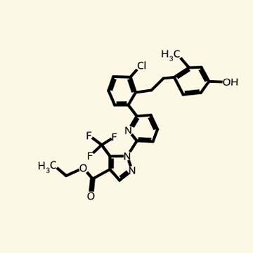 CCOC(=O)c1cnn(-c2cccc(-c3cccc(Cl)c3CCc3ccc(O)cc3C)n2)c1C(F)(F)F